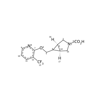 O=C(O)N1C[C@@H]2C(COc3ncccc3C(F)(F)F)[C@@H]2C1